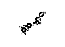 N#Cc1cc(Cl)cc(Oc2cc(OCc3n[nH]c4nc(N5CCNCC5)ccc34)ccc2Cl)c1